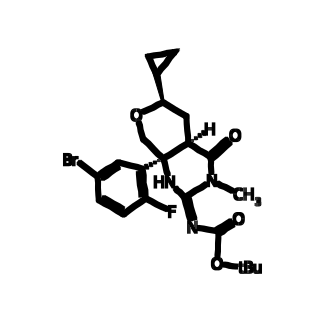 CN1C(=O)[C@@H]2C[C@H](C3CC3)OC[C@]2(c2cc(Br)ccc2F)N/C1=N/C(=O)OC(C)(C)C